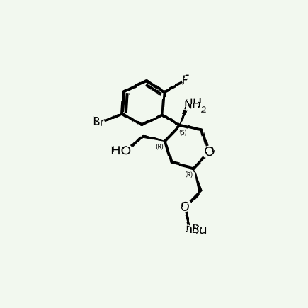 CCCCOC[C@H]1C[C@@H](CO)[C@](N)(C2CC(Br)=CC=C2F)CO1